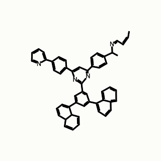 C/C=C\C=N/C(C)c1ccc(-c2cc(-c3ccc(-c4ccccn4)cc3)nc(-c3cc(C4=CC=CC5C=CC=CC45)cc(-c4cccc5ccccc45)c3)n2)cc1